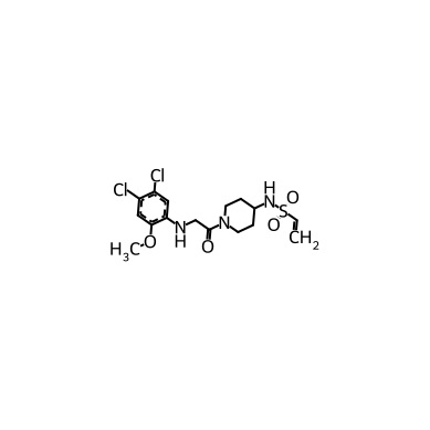 C=CS(=O)(=O)NC1CCN(C(=O)CNc2cc(Cl)c(Cl)cc2OC)CC1